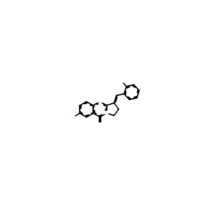 Cc1ccccc1C=C1CCn2c1nc1ccc(N)cc1c2=O